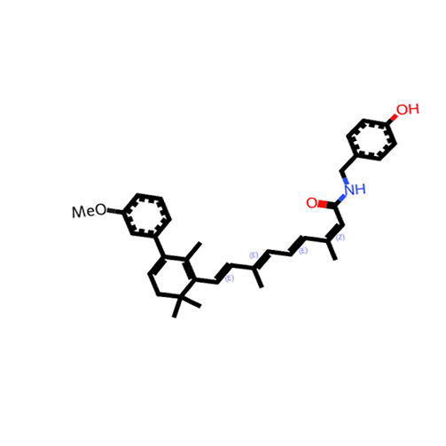 COc1cccc(C2=CCC(C)(C)C(/C=C/C(C)=C/C=C/C(C)=C\C(=O)NCc3ccc(O)cc3)=C2C)c1